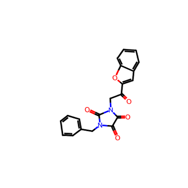 O=C(CN1C(=O)C(=O)N(Cc2ccccc2)C1=O)c1cc2ccccc2o1